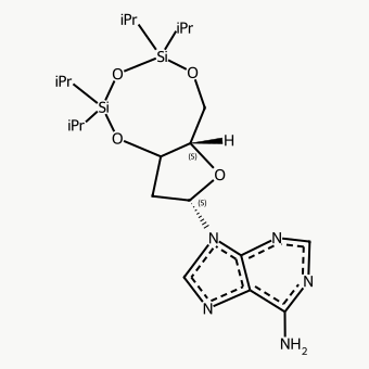 CC(C)[Si]1(C(C)C)OC[C@@H]2O[C@H](n3cnc4c(N)ncnc43)CC2O[Si](C(C)C)(C(C)C)O1